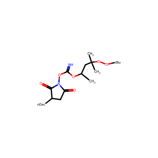 CCCCCCCCCCC1CC(=O)N(OC(=N)OC(C)CC(C)(C)OOC(C)(C)C)C1=O